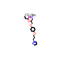 CC(C)NCC(COc1ccc(OCCCn2cccn2)cc1)OC(=O)/C=C\C(=O)O